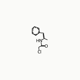 CC(=Cc1ccccc1)NC(=O)CCl